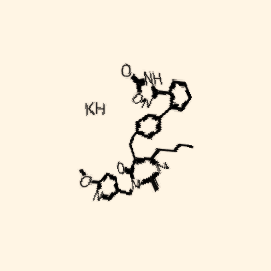 CCCCc1nc(C)n(Cc2ccc(OC)nc2)c(=O)c1Cc1ccc(-c2ccccc2-c2noc(=O)[nH]2)cc1.[KH]